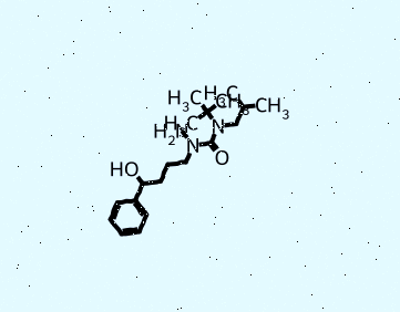 CC(C)CN(C(=O)N(N)CCCC(O)c1ccccc1)C(C)(C)C